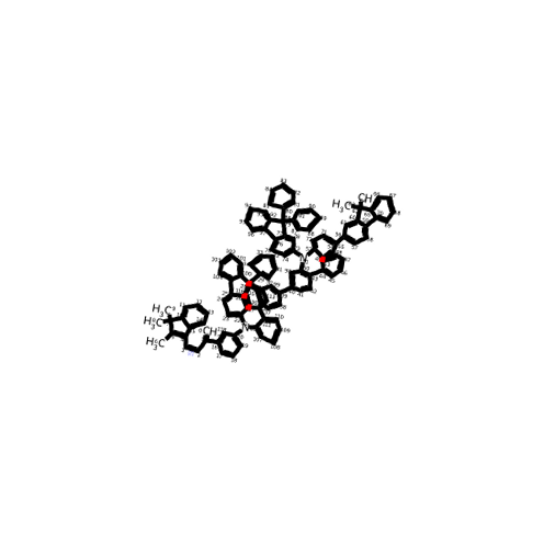 C=C(/C=C\C1=C(C)C(C)(C)c2ccccc21)c1cccc(N(c2ccc3c(c2)C(c2ccccc2)(c2cccc(-c4ccc(-c5ccccc5)c(N(c5ccc(-c6ccc7c(c6)C(C)(C)c6ccccc6-7)cc5)c5ccc6c(c5)C(c5ccccc5)(c5ccccc5)c5ccccc5-6)c4)c2)c2ccccc2-3)c2ccccc2-c2ccccc2)c1